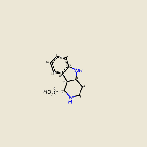 O=C(O)[C@H]1NCCC2Nc3ccccc3C21